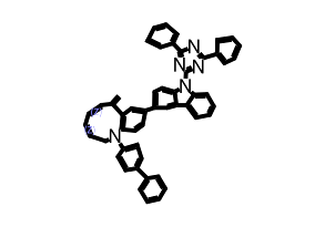 C=C1/C=C\C=C/CN(c2ccc(-c3ccccc3)cc2)c2ccc(-c3ccc4c(c3)c3ccccc3n4-c3nc(-c4ccccc4)nc(-c4ccccc4)n3)cc21